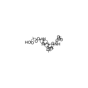 C=C(C)[C@@H]1CC[C@]2(CC(=O)N[C@H]3CCN(S(C)(=O)=O)C3)CC[C@]3(C)[C@H](CC[C@@H]4[C@@]5(C)CC[C@H](OC(=O)CC(C)(C)CC(=O)O)C(C)(C)[C@@H]5CC[C@]43C)[C@@H]12